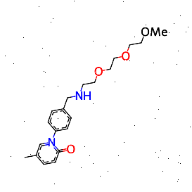 COCCOCCOCCNCc1ccc(-n2cc(C)ccc2=O)cc1